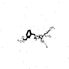 COCCN(C)c1nc(N)c2ncn(Cc3cccc(CC(=O)OC)c3)c2n1